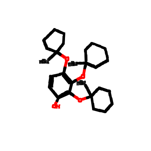 CCCCC1(Oc2ccc(O)c(OC3(CCCC)CCCCC3)c2OC2(CCCC)CCCCC2)CCCCC1